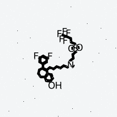 CN(CCCCCCC1=C(c2cc(F)cc(F)c2)CCCc2cc(O)ccc21)CCCCS(=O)(=O)CCCC(F)(F)C(F)(F)F